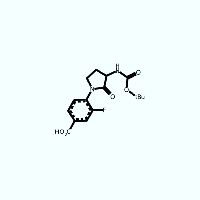 CC(C)(C)OC(=O)NC1CCN(c2ccc(C(=O)O)cc2F)C1=O